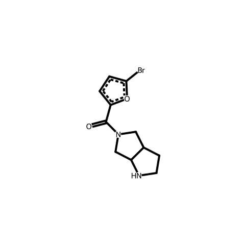 O=C(c1ccc(Br)o1)N1CC2CCNC2C1